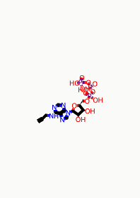 C#CCNc1ncnc2c1ncn2C1O[C@H](COP(=O)(O)OP(=O)(O)OP(=O)(O)O)[C@@H](O)[C@H]1O